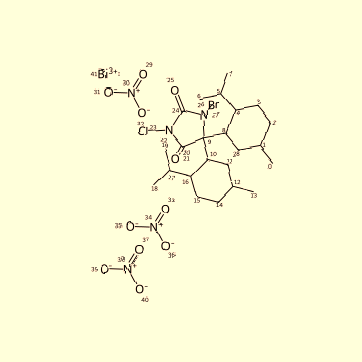 CC1CCC(C(C)C)C(C2(C3CC(C)CCC3C(C)C)C(=O)N(Cl)C(=O)N2Br)C1.O=[N+]([O-])[O-].O=[N+]([O-])[O-].O=[N+]([O-])[O-].[Bi+3]